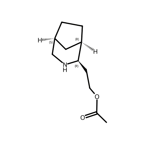 CC(=O)OCC[C@H]1NC[C@H]2CC[C@@H]1C2